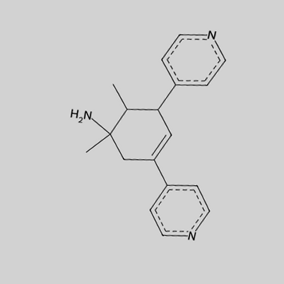 CC1C(c2ccncc2)C=C(c2ccncc2)CC1(C)N